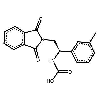 Cc1cccc([C@H](CN2C(=O)c3ccccc3C2=O)NC(=O)O)c1